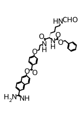 N=C(N)c1ccc2cc(OC(=O)c3ccc(OCCNC(=O)[C@H](CCCCNC=O)NC(=O)OCc4ccccc4)cc3)ccc2c1